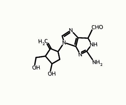 C=C1C(CO)C(O)CC1n1cnc2c1N=C(N)NC2C=O